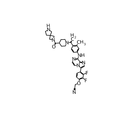 C=C(c1ccc(Nc2nccn3c(-c4ccc(OCC#N)c(F)c4F)cnc23)cc1C)N1CCC(C(=O)N2CC3(CCNC3)C2)CC1